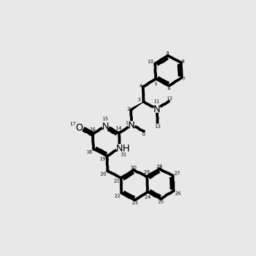 CN(C[C@@H](Cc1ccccc1)N(C)C)c1nc(=O)cc(Cc2ccc3ccccc3c2)[nH]1